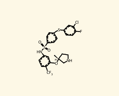 C[C@@]1(Oc2cc(NS(=O)(=O)c3ccc(Sc4ccc(F)c(Cl)c4)cc3)ccc2C(F)(F)F)CCNC1